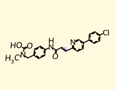 CN(Cc1ccc(NC(=O)/C=C/c2ccc(-c3ccc(Cl)cc3)cn2)cc1)C(=O)O